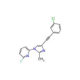 Cc1nc(C#Cc2cccc(Cl)c2)cn1-c1cccc(F)n1